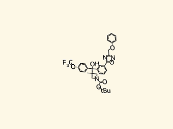 CC(C)(C)OC(=O)N1CC(C)([C@](O)(c2ccc(OC(F)(F)F)cc2)c2cccc(-c3nc(COc4ccccc4)no3)c2)C1